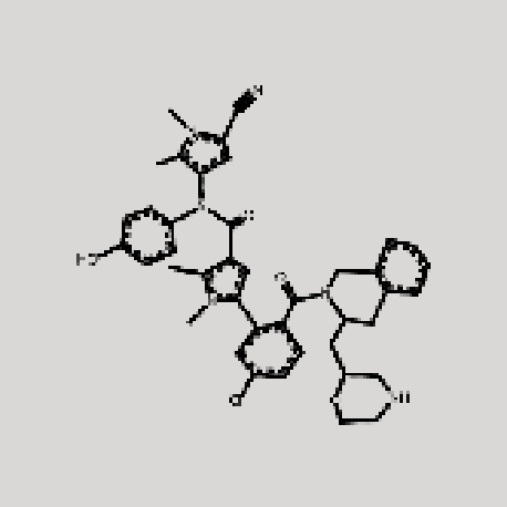 Cc1c(N(C(=O)c2cc(-c3cc(Cl)ccc3C(=O)N3Cc4ccccc4CC3CC3CNCCO3)n(C)c2C)c2ccc(O)cc2)cc(C#N)n1C